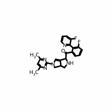 Cc1cc(C)nc(N2C=C3C(CNC3C(=O)c3cccc(F)c3-c3ncccc3F)C2)n1